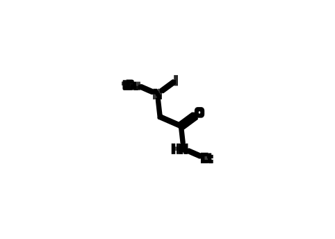 CCNC(=O)CN(I)C(C)(C)C